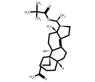 CC(=O)OC[C@]12CCCC[C@H]1CCC1=C3CC[C@H]([C@H](C)OC(=O)C(C)(C)C)[C@@]3(C)CC[C@@H]12